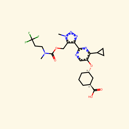 CN(CCC(F)(F)F)C(=O)OCc1c(-c2ncc(O[C@H]3CCC[C@H](C(=O)O)C3)c(C3CC3)n2)nnn1C